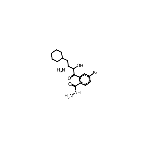 NNC(=O)c1ccc(Br)cc1C(=O)C(O)[C@H](N)CC1CCCCC1